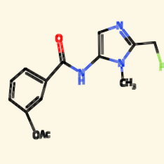 CC(=O)Oc1cccc(C(=O)Nc2cnc(CF)n2C)c1